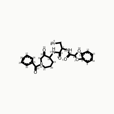 CC(C)CC(NC(=O)C1Oc2ccccc2O1)C(=O)NC1CCCN(C(=O)c2ccccc2)CC1=O